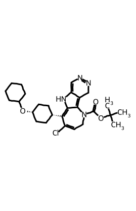 CC(C)(C)OC(=O)N1CC=C(Cl)C([C@H]2CC[C@@H](OC3CCCCC3)CC2)=c2[nH]c3c(c21)CN=NC=3